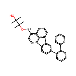 CC(C)(O)C(C)(C)OBc1ccc2c3c(cccc13)-c1cc(-c3ccccc3-c3ccccc3)ccc1-2